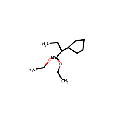 CCO[SiH](OCC)C(CC)C1CCCC1